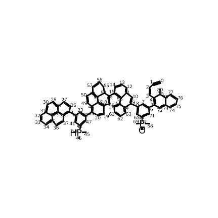 C#C/C=C\C1=C(c2cc(-c3cc4cccc(C5=Cc6ccc(-c7cc(-c8ccc9ccc%10cccc%11ccc8c9c%10%11)cc([PH](C)(C)C)c7)c7ccc8c(c67)C5CC=C8)c4c4ccccc34)cc(P(C)(C)=O)c2)C=C2C=CC=CC2C1C